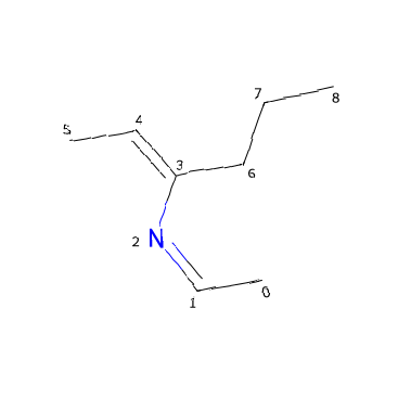 C/C=N\C(=C/C)CCC